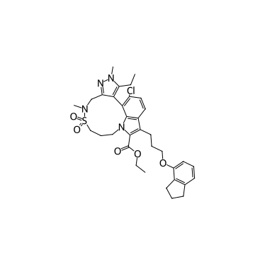 CCOC(=O)c1c(CCCOc2cccc3c2CCC3)c2ccc(Cl)c3c2n1CCCS(=O)(=O)N(C)Cc1nn(C)c(CC)c1-3